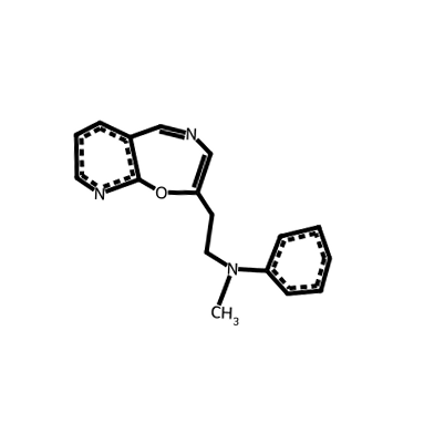 CN(CCC1=CN=Cc2cccnc2O1)c1ccccc1